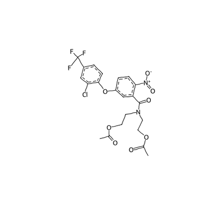 CC(=O)OCCN(CCOC(C)=O)C(=O)c1cc(Oc2ccc(C(F)(F)F)cc2Cl)ccc1[N+](=O)[O-]